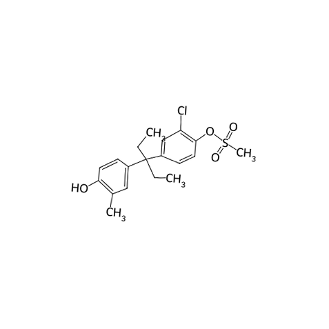 CCC(CC)(c1ccc(O)c(C)c1)c1ccc(OS(C)(=O)=O)c(Cl)c1